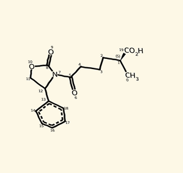 C[C@@H](CCCC(=O)N1C(=O)OCC1c1ccccc1)C(=O)O